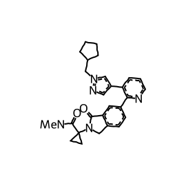 CNC(=O)C1(N2Cc3ccc(-c4ncccc4-c4cnn(CC5CCCC5)c4)cc3C2=O)CC1